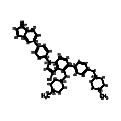 CN1CCN(Cc2ccc(-c3cnc4c(c(I)cn4-c4ccc(-c5cnc6[nH]ccc6c5)cc4)c3CN3CCN(C)CC3)cc2)CC1